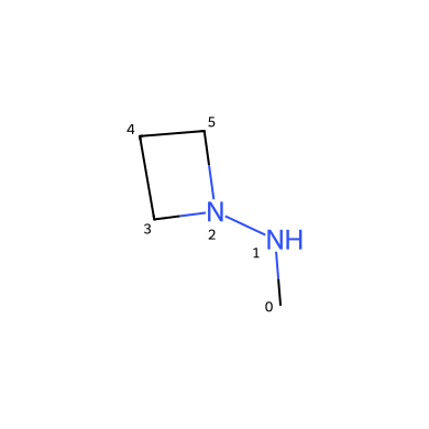 CNN1CCC1